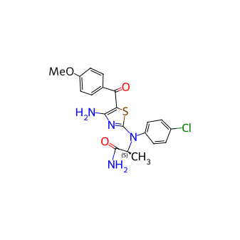 COc1ccc(C(=O)c2sc(N(c3ccc(Cl)cc3)[C@@H](C)C(N)=O)nc2N)cc1